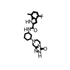 Cc1ccc(F)c2cc(C(=O)N[C@@H]3CCC[C@@H](N4CCn5c(n[nH]c5=O)C4)C3)[nH]c12